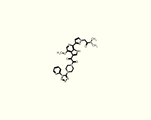 COc1cnc(-c2ccn(CC(=O)N(C)C)n2)c2[nH]cc(C(=O)C(=O)N3CCN(c4nnnn4-c4ccccn4)CC3)c12